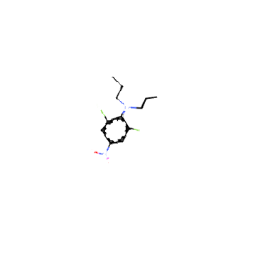 CCCN(CCC)c1c(F)cc([N+](=O)[O-])cc1F